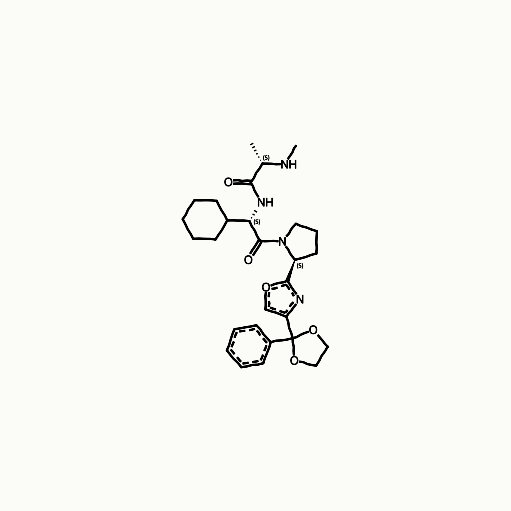 CN[C@@H](C)C(=O)N[C@H](C(=O)N1CCC[C@H]1c1nc(C2(c3ccccc3)OCCO2)co1)C1CCCCC1